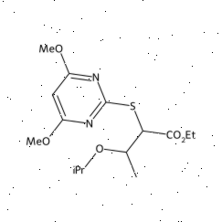 CCOC(=O)C(Sc1nc(OC)cc(OC)n1)C(C)OC(C)C